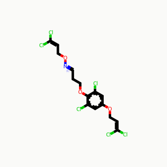 ClC(Cl)=CCO/N=C/CCOc1c(Cl)cc(OCC=C(Cl)Cl)cc1Cl